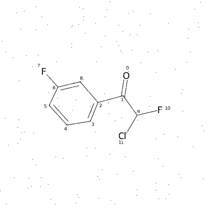 O=C(c1cccc(F)c1)C(F)Cl